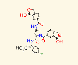 O=C(O)C[C@H](NC(=O)[C@@H]1C[C@@H](NC(=O)c2ccc3c(c2)B(O)OC3)CN1C(=O)c1ccc2c(c1)B(O)OC2)c1ccc(F)cc1